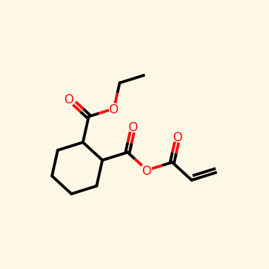 C=CC(=O)OC(=O)C1CCCCC1C(=O)OCC